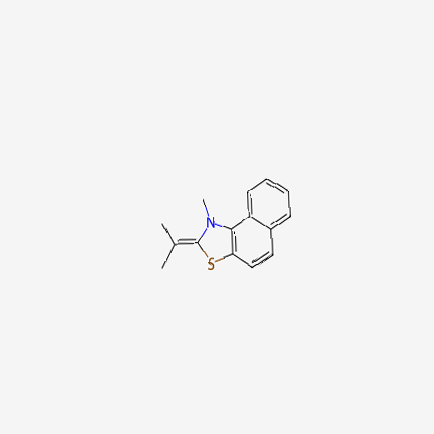 CC(C)=C1Sc2ccc3ccccc3c2N1C